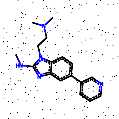 CNc1nc2cc(-c3cccnc3)ccc2n1CCN(C)C